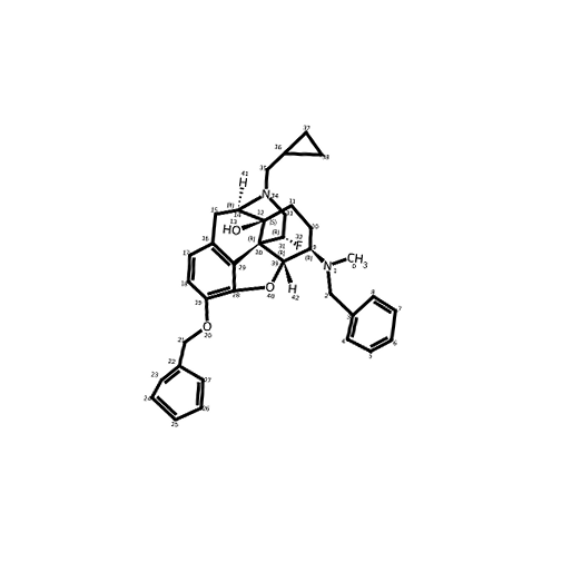 CN(Cc1ccccc1)[C@@H]1CC[C@@]2(O)[C@H]3Cc4ccc(OCc5ccccc5)c5c4[C@@]2([C@@H](F)CN3CC2CC2)[C@H]1O5